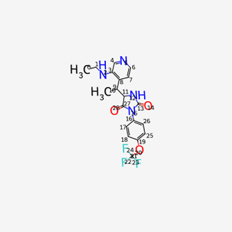 CCNc1cnccc1C(C)C1NC(=O)N(c2ccc(OC(F)(F)F)cc2)C1=O